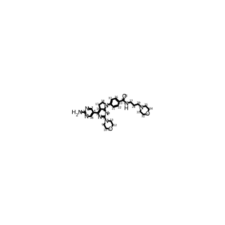 Nc1ncc(-c2nc(N3CCOCC3)nc3c2CCN3c2ccc(C(=O)NCCCN3CCOCC3)cc2)cn1